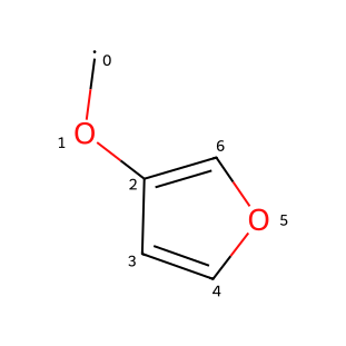 [CH2]Oc1ccoc1